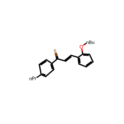 CCCCOc1ccccc1C=CC(=S)c1ccc(CCC)cc1